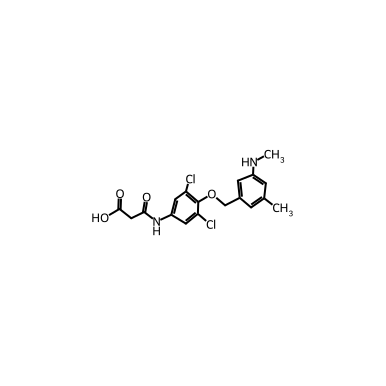 CNc1cc(C)cc(COc2c(Cl)cc(NC(=O)CC(=O)O)cc2Cl)c1